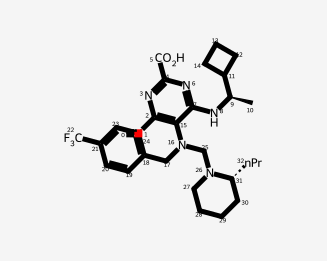 C=Nc1nc(C(=O)O)nc(N[C@H](C)C2CCC2)c1N(Cc1ccc(C(F)(F)F)cc1)CN1CCCC[C@H]1CCC